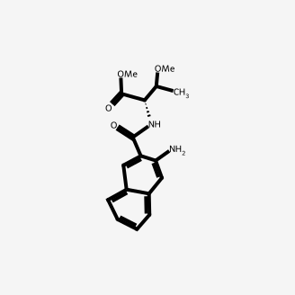 COC(=O)[C@@H](NC(=O)c1cc2ccccc2cc1N)C(C)OC